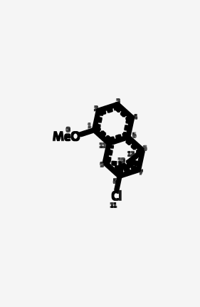 COc1[c]ccc2c3ccc(c(Cl)c3)c12